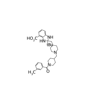 Cc1cccc(C(=O)N2CCC(CN3CCC(CC4(C(C)(C)C)Nc5cccc(C(=O)O)c5N4)CC3)CC2)c1